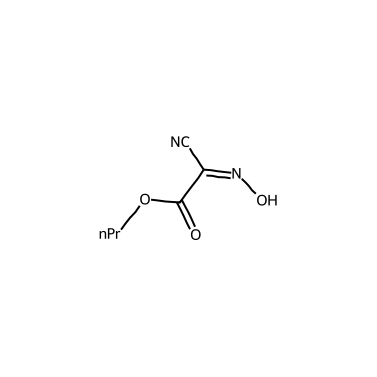 CCCOC(=O)/C(C#N)=N\O